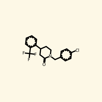 O=C1CC(c2ccccc2C(F)(F)F)CCN1Cc1ccc(Cl)cc1